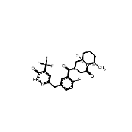 C[C@@H]1CCC[C@H]2CN(C(=O)c3cc(Cc4cc(C(F)(F)F)c(=O)[nH]n4)ccc3F)CC(=O)N21